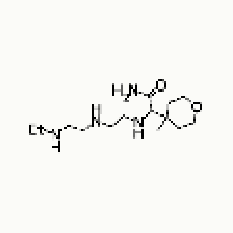 CCNCCNCCNC(C(N)=O)C1(C)CCOCC1